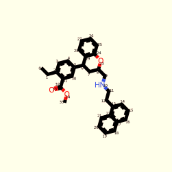 CCc1ccc(C2CC(CNCCc3cccc4ccccc34)Oc3ccccc32)cc1C(=O)OC